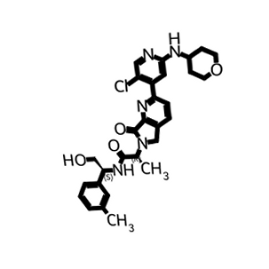 Cc1cccc([C@@H](CO)NC(=O)[C@@H](C)N2Cc3ccc(-c4cc(NC5CCOCC5)ncc4Cl)nc3C2=O)c1